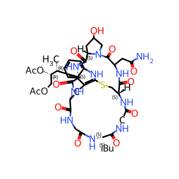 CC[C@H](C)[C@@H]1NC(=O)CNC(=O)C2Cc3c([nH]c4ccccc34)SC[C@@H](NC(=O)CNC1=O)C(=O)NC(CC(N)=O)C(=O)N1CC(O)C[C@H]1C(=O)N[C@@H]([C@@H](C)[C@H](COC(C)=O)OC(C)=O)C(=O)N2